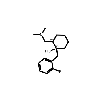 CN(C)C[C@H]1CCCC[C@]1(O)Cc1ccccc1F